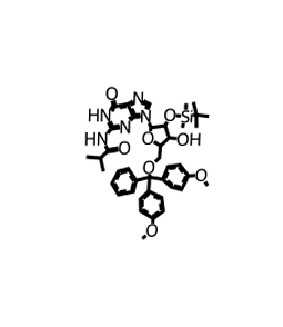 COc1ccc(C(OCC2OC(n3cnc4c(=O)[nH]c(NC(=O)C(C)C)nc43)C(O[Si](C)(C)C(C)(C)C)C2O)(c2ccccc2)c2ccc(OC)cc2)cc1